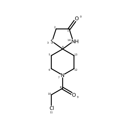 O=C1CSC2(CCN(C(=O)CCl)CC2)N1